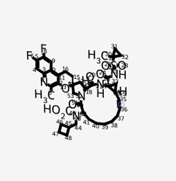 Cc1nc2cc(F)c(F)cc2c2c1O[C@]1(CC2)C[C@H]2C(=O)N[C@]3(C(=O)NS(=O)(=O)C4(C)CC4)C[C@H]3/C=C\CCCCC[C@H](N(CC3CCC3)C(=O)O)C(=O)N2C1